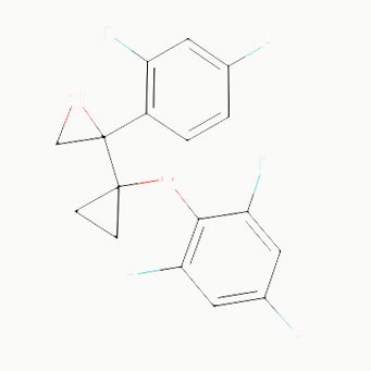 Fc1ccc(C2(C3(Oc4c(F)cc(F)cc4F)CC3)CO2)c(F)c1